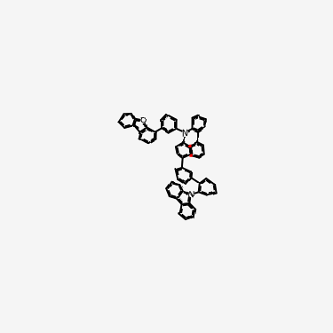 c1ccc(-c2ccccc2N(c2ccc(-c3cccc(-c4ccccc4-n4c5ccccc5c5ccccc54)c3)cc2)c2cccc(-c3cccc4c3oc3ccccc34)c2)cc1